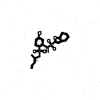 C=C/C=C(\C)CS(=O)(=O)c1ccc(Cl)cc1NS(=O)(=O)c1cc2ccccc2o1